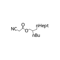 CCCCCCCCC(CCCC)COC(=O)CC#N